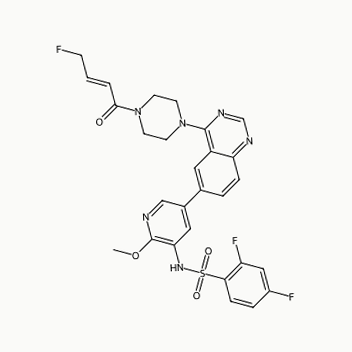 COc1ncc(-c2ccc3ncnc(N4CCN(C(=O)/C=C/CF)CC4)c3c2)cc1NS(=O)(=O)c1ccc(F)cc1F